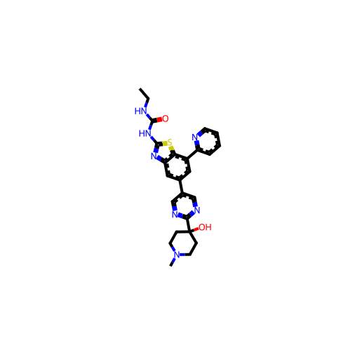 CCNC(=O)Nc1nc2cc(-c3cnc(C4(O)CCN(C)CC4)nc3)cc(-c3ccccn3)c2s1